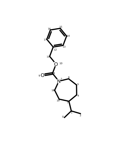 CC(C)C1CCCN(C(=O)OCc2ccccc2)CC1